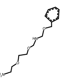 NCCOCCOCNCOCc1ccccc1